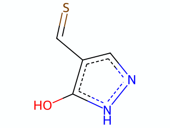 Oc1[nH]ncc1C=S